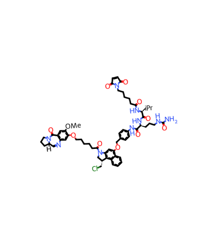 COc1cc2c(cc1OCCCCCC(=O)N1C[C@@H](CCl)c3c1cc(OCc1ccc(NC(=O)[C@H](CCCNC(N)=O)NC(=O)[C@@H](NC(=O)CCCCCN4C(=O)C=CC4=O)C(C)C)cc1)c1ccccc31)N=C[C@@H]1CCCN1C2=O